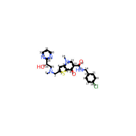 CN(Cc1cc2c(s1)c(=O)c(C(=O)NCc1ccc(Cl)cc1)cn2C)C[C@H](O)c1ncccn1